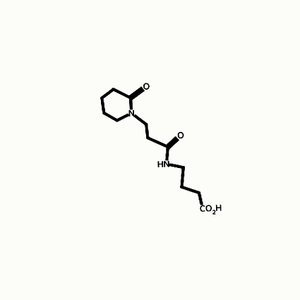 O=C(O)CCCNC(=O)CCN1CCCCC1=O